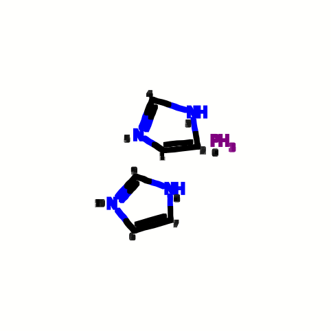 P.c1c[nH]cn1.c1c[nH]cn1